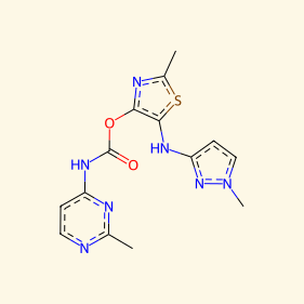 Cc1nccc(NC(=O)Oc2nc(C)sc2Nc2ccn(C)n2)n1